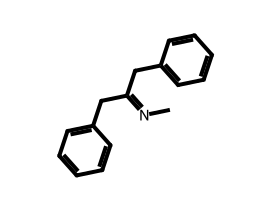 CN=C(Cc1ccccc1)Cc1ccccc1